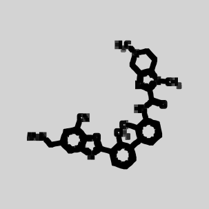 CNCc1cc(C#N)c2oc(-c3cccc(-c4cccc(NC(=O)c5nc6c(n5C)CCN(C)C6)c4Cl)c3C)nc2c1